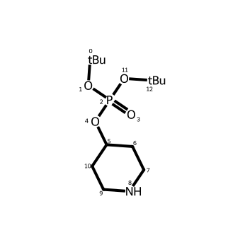 CC(C)(C)OP(=O)(OC1CCNCC1)OC(C)(C)C